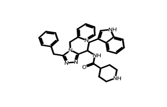 O=C(NC(Cc1c[nH]c2ccccc12)c1nnc(Cc2ccccc2)n1Cc1ccccn1)C1CCNCC1